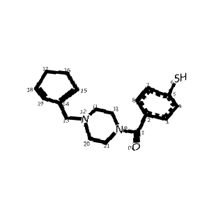 O=C(c1ccc(S)cc1)N1CCN(CC2=CCCC=C2)CC1